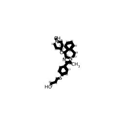 Cc1c(-c2ccc(SCCCO)cc2)nc2n1CCc1ccccc1C2OC1CCN(C)CC1